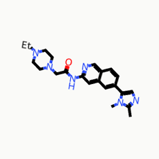 CCN1CCN(CC(=O)Nc2cc3cc(-c4cnc(C)n4C)ccc3cn2)CC1